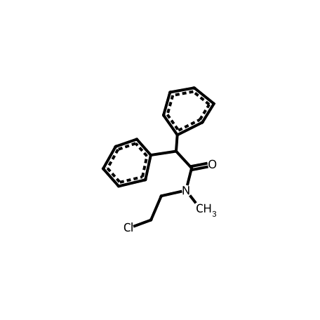 CN(CCCl)C(=O)C(c1ccccc1)c1ccccc1